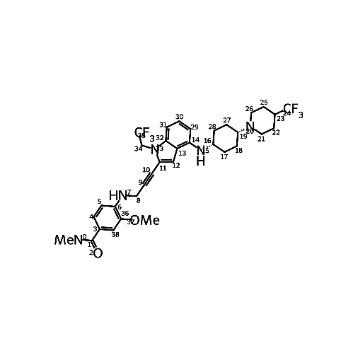 CNC(=O)c1ccc(NCC#Cc2cc3c(N[C@H]4CC[C@@H](N5CCC(C(F)(F)F)CC5)CC4)cccc3n2CC(F)(F)F)c(OC)c1